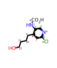 O=C(O)Nc1cnc(Cl)cc1CCCCO